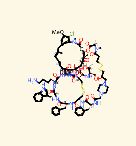 COc1cc2cc(c1Cl)N(C)C(=O)C[C@H](OC(=O)[C@H](C)N(C)C(=O)CCSSCCCN1CCN(CC(=O)N[C@H](Cc3ccccc3)C(=O)N[C@H]3CSSC[C@@H](C(=O)N[C@H](CO)[C@@H](C)O)NC(=O)[C@H]([C@@H](C)O)NC(=O)[C@H](CCCCN)NC(=O)[C@@H](Cc4c[nH]c5ccccc45)NC(=O)[C@H](Cc4ccccc4)NC3=O)CC1)[C@]1(C)O[C@H]1[C@H](C)[C@@H]1C[C@@](O)(NC(=O)O1)[C@H](OC)/C=C/C=C(\C)C2